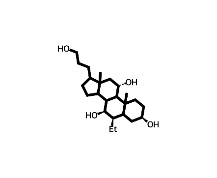 CC[C@@H]1C2C[C@H](O)CCC2(C)C2C(C3CCC(CCCO)C3(C)C[C@@H]2O)[C@@H]1O